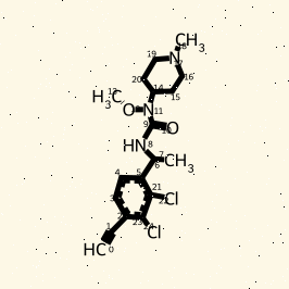 C#Cc1ccc(C(C)NC(=O)N(OC)C2CCN(C)CC2)c(Cl)c1Cl